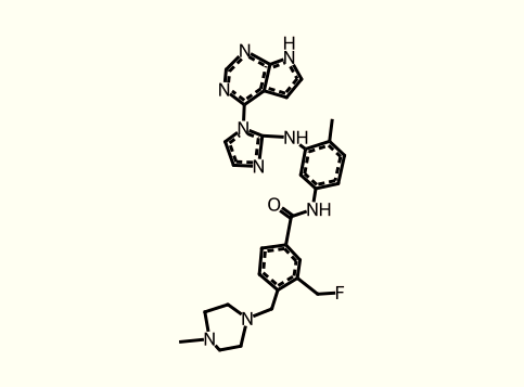 Cc1ccc(NC(=O)c2ccc(CN3CCN(C)CC3)c(CF)c2)cc1Nc1nccn1-c1ncnc2[nH]ccc12